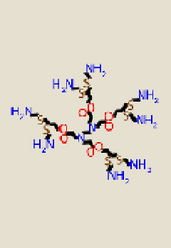 NCCSCC(CCOC(=O)CCN(CCC(=O)OCCC(CSCCN)SCCN)CCN(CCC(=O)OCCC(CSCCN)SCCN)CCC(=O)OCCC(CSCCN)SCCN)SCCN